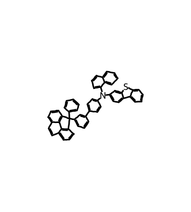 c1ccc(C2(c3cccc(-c4ccc(N(c5ccc6c(c5)sc5ccccc56)c5cccc6ccccc56)cc4)c3)c3cccc4ccc5cccc2c5c34)cc1